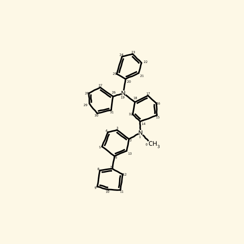 CN(c1cccc(-c2ccccc2)c1)c1cccc(N(c2ccccc2)c2ccccc2)c1